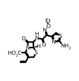 C=CC1=C(C(=O)O)N2C(=O)C(NC(=O)C(=NOCC)c3csc(N)n3)[C@@H]2SC1